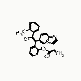 C=CC(=O)Oc1ccccc1/C(=C(\CC)c1ccccc1C)c1ccc2nccn2c1